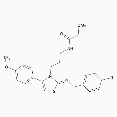 COCC(=O)NCCCn1c(-c2ccc(OC(F)(F)F)cc2)cs/c1=N\Cc1ccc(Cl)cc1